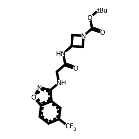 CC(C)(C)OC(=O)N1CC(NC(=O)CNc2noc3ccc(C(F)(F)F)cc23)C1